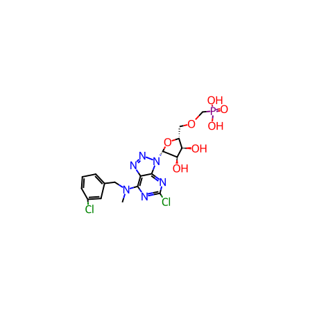 CN(Cc1cccc(Cl)c1)c1nc(Cl)nc2c1nnn2[C@@H]1O[C@H](COCP(=O)(O)O)[C@@H](O)[C@H]1O